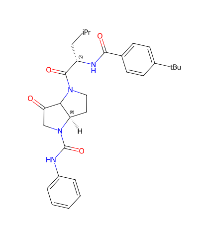 CC(C)C[C@H](NC(=O)c1ccc(C(C)(C)C)cc1)C(=O)N1CC[C@@H]2C1C(=O)CN2C(=O)Nc1ccccc1